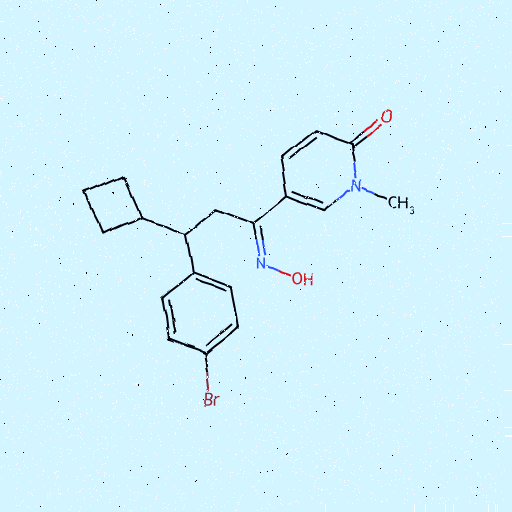 Cn1cc(C(CC(c2ccc(Br)cc2)C2CCC2)=NO)ccc1=O